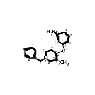 C[C@@H]1CN(Cc2ccccc2)CC[C@H]1Oc1cccc(N)c1